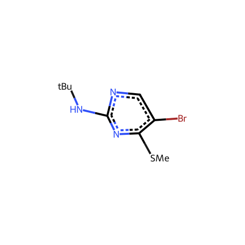 CSc1nc(NC(C)(C)C)ncc1Br